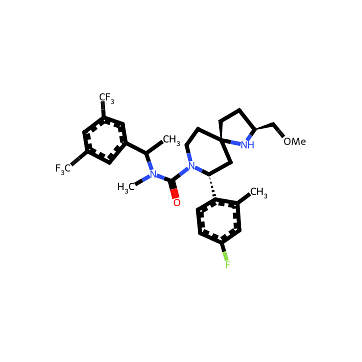 COC[C@@H]1CC[C@@]2(CCN(C(=O)N(C)C(C)c3cc(C(F)(F)F)cc(C(F)(F)F)c3)[C@@H](c3ccc(F)cc3C)C2)N1